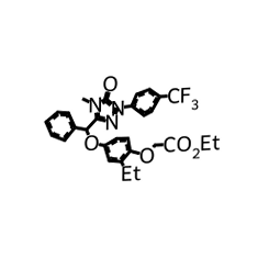 CCOC(=O)COc1ccc(OC(c2ccccc2)c2nn(-c3ccc(C(F)(F)F)cc3)c(=O)n2C)cc1CC